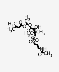 CC(=O)NCCCS(=O)(=O)OCC(C)(C)[C@@H](O)C(=O)OC(C)OC(=O)CC(C)C